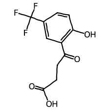 O=C(O)CCC(=O)c1cc(C(F)(F)F)ccc1O